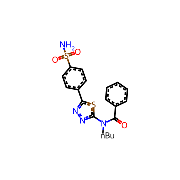 CCCCN(C(=O)c1ccccc1)c1nnc(-c2ccc(S(N)(=O)=O)cc2)s1